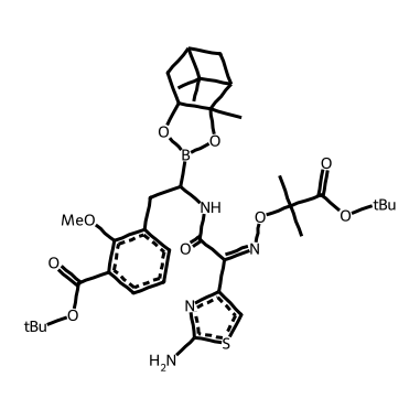 COc1c(CC(NC(=O)/C(=N\OC(C)(C)C(=O)OC(C)(C)C)c2csc(N)n2)B2OC3CC4CC(C4(C)C)C3(C)O2)cccc1C(=O)OC(C)(C)C